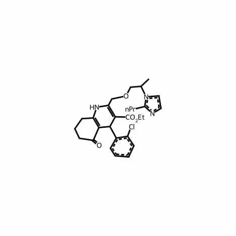 CCCc1nccn1C(C)COCC1=C(C(=O)OCC)C(c2ccccc2Cl)C2=C(CCCC2=O)N1